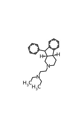 CCN(CC)CCN1CC[C@H]2c3ccccc3C(c3ccccc3)[C@H]2C1